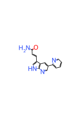 NC(=O)C=Cc1c[nH]c2ncc(-c3ccccn3)cc12